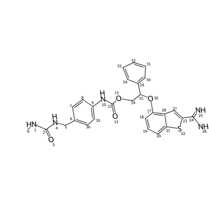 CNC(=O)NCc1ccc(NC(=O)OCC(Oc2cccc3sc(C(=N)N)cc23)c2ccccc2)cc1